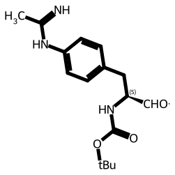 CC(=N)Nc1ccc(C[C@@H]([C]=O)NC(=O)OC(C)(C)C)cc1